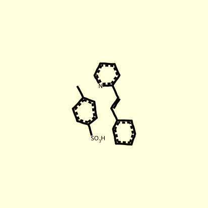 C(=Cc1ccccn1)c1ccccc1.Cc1ccc(S(=O)(=O)O)cc1